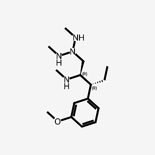 CC[C@H](c1cccc(OC)c1)[C@H](CN(NC)NC)NC